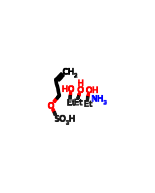 C=CCOS(=O)(=O)O.CCO.CCO.CCO.N